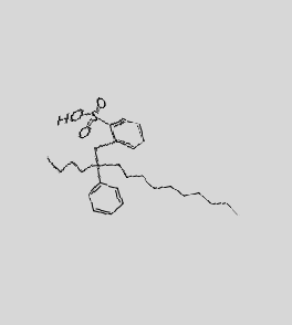 CCCCCCCCCCC(CCCC)(Cc1ccccc1S(=O)(=O)O)c1ccccc1